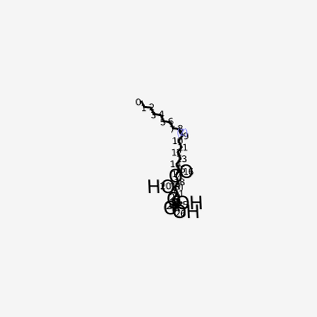 CCCCCCCC/C=C\CCCCCC(=O)OC[C@@H](O)COP(=O)(O)O